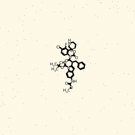 COC(=O)Nc1ccc2c(c1)cc(C(Cc1ccccc1)C(=O)N1C(=O)O[C@]3(CCCNC3)c3c1ccc(Cl)c3F)n2C(=O)OC(C)(C)C